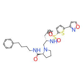 CC(C)C[C@@H](CN1CCC[C@H]1C(=O)NCCCCc1ccccc1)NS(=O)(=O)c1ccc(-c2ccon2)s1